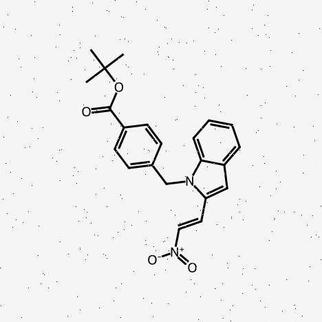 CC(C)(C)OC(=O)c1ccc(Cn2c(C=C[N+](=O)[O-])cc3ccccc32)cc1